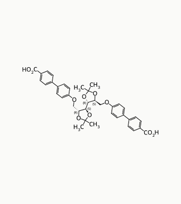 CC1(C)O[C@@H]([C@H]2OC(C)(C)O[C@@H]2COc2ccc(-c3ccc(C(=O)O)cc3)cc2)[C@H](COc2ccc(-c3ccc(C(=O)O)cc3)cc2)O1